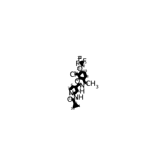 CC(NC(=O)c1ccnc(NC(=O)C2CC2)c1)c1ccc(OCC(F)(F)F)c(Cl)c1